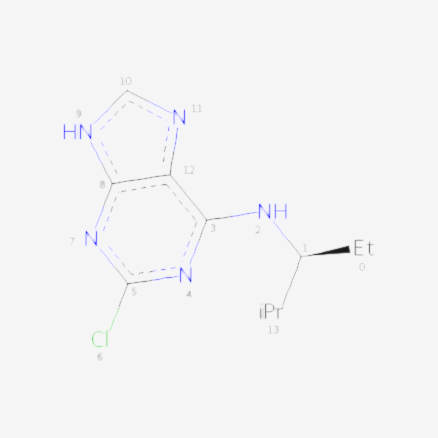 CC[C@H](Nc1nc(Cl)nc2[nH]cnc12)C(C)C